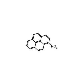 O=[N+]([O-])c1ccc2ccc3cccc4ccc1c2c34